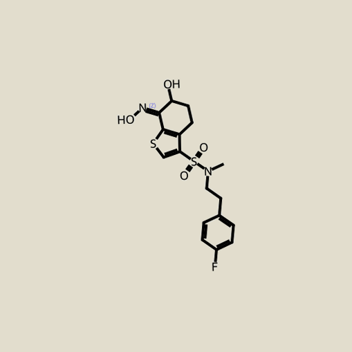 CN(CCc1ccc(F)cc1)S(=O)(=O)c1csc2c1CCC(O)/C2=N/O